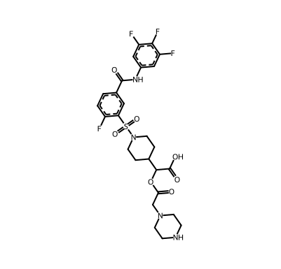 O=C(CN1CCNCC1)OC(C(=O)O)C1CCN(S(=O)(=O)c2cc(C(=O)Nc3cc(F)c(F)c(F)c3)ccc2F)CC1